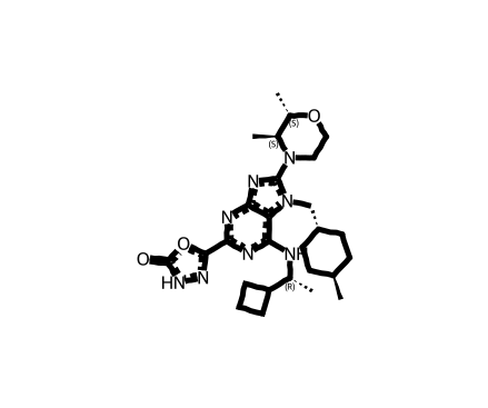 C[C@@H]1OCCN(c2nc3nc(-c4n[nH]c(=O)o4)nc(N[C@H](C)C4CCC4)c3n2C[C@H]2CC[C@H](C)CC2)[C@H]1C